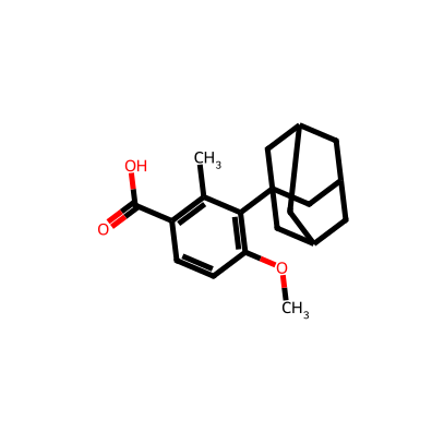 COc1ccc(C(=O)O)c(C)c1C12CC3CC(CC(C3)C1)C2